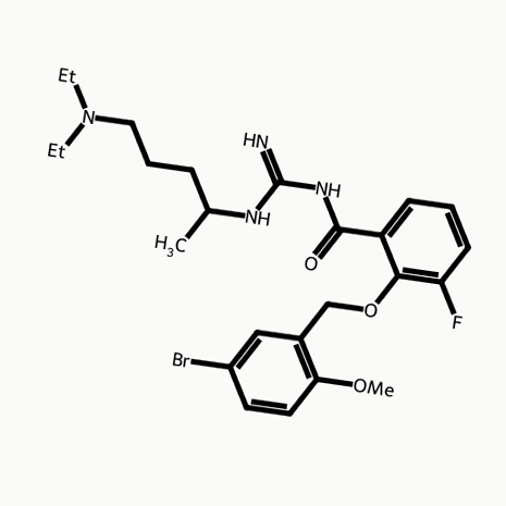 CCN(CC)CCCC(C)NC(=N)NC(=O)c1cccc(F)c1OCc1cc(Br)ccc1OC